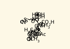 CC[C@H](C)[C@H](NC(=O)[C@H]1CCCCN1C)C(=O)N(C)[C@H](C[C@@H](OC(C)=O)c1nc(C(=O)N[C@@H](Cc2ccc(OP(=O)(O)O)c(NC(=O)CCCSSc3ccccn3)c2)CC(C)C(=O)O)cs1)C(C)C